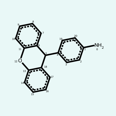 Nc1ccc(C2c3ccccc3Oc3ccccc32)cc1